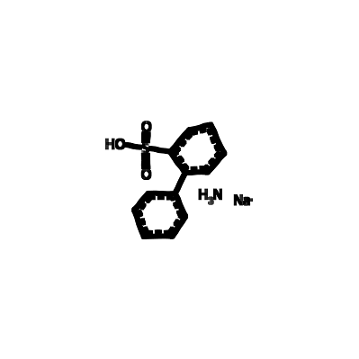 N.O=S(=O)(O)c1ccccc1-c1ccccc1.[Na]